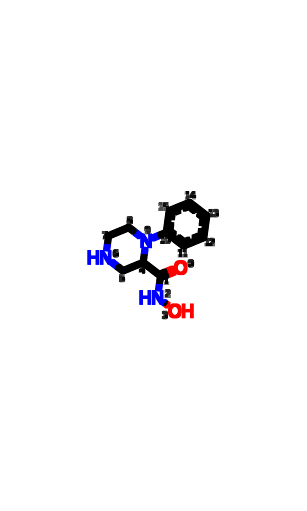 O=C(NO)C1CNCCN1c1ccccc1